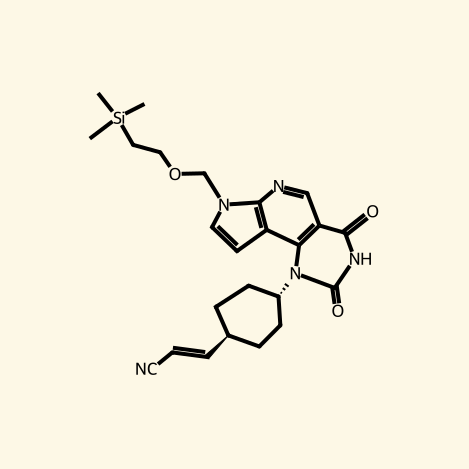 C[Si](C)(C)CCOCn1ccc2c1ncc1c(=O)[nH]c(=O)n([C@H]3CC[C@H](C=CC#N)CC3)c12